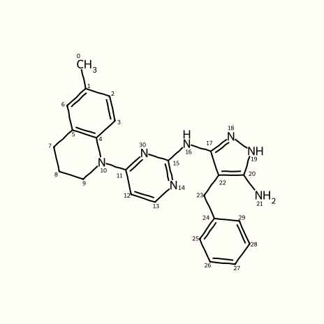 Cc1ccc2c(c1)CCCN2c1ccnc(Nc2n[nH]c(N)c2Cc2ccccc2)n1